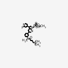 CCOP(=O)(O)OCn1cc(-c2ccnc(F)c2)c2cc(-c3cccc(N(C)C(=O)C=CCN(C)C)c3)cnc21